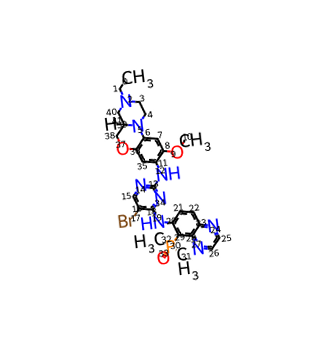 CCN1CCN2c3cc(OC)c(Nc4ncc(Br)c(Nc5ccc6nccnc6c5P(C)(C)=O)n4)cc3OC[C@@H]2C1